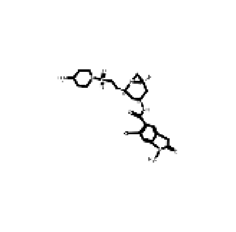 CN1C(=O)Cc2cc(C(=O)N[C@H]3C[C@@H](CCS(=O)(=O)N4CCC(N)CC4)N4C[C@H]4C3)c(Cl)cc21